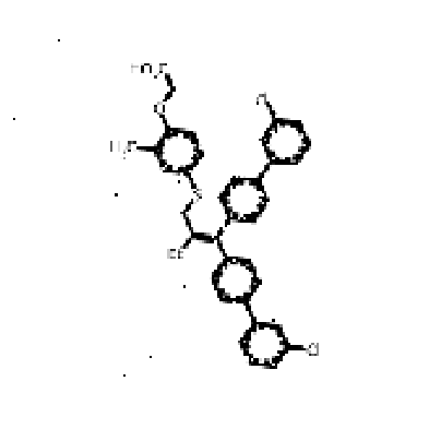 CCC(CSc1ccc(OCC(=O)O)c(C)c1)=C(c1ccc(-c2cccc(Cl)c2)cc1)c1ccc(-c2cccc(Cl)c2)cc1